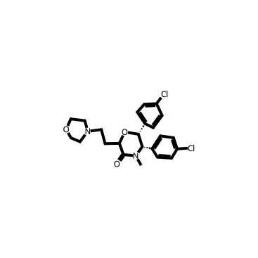 CN1C(=O)C(CCN2CCOCC2)O[C@H](c2ccc(Cl)cc2)[C@@H]1c1ccc(Cl)cc1